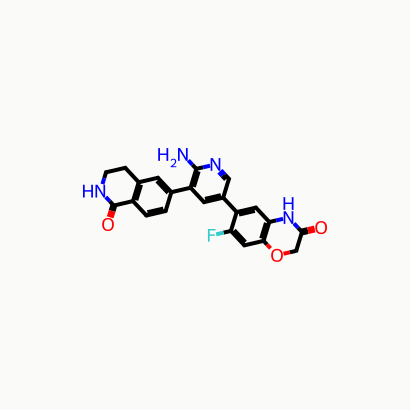 Nc1ncc(-c2cc3c(cc2F)OCC(=O)N3)cc1-c1ccc2c(c1)CCNC2=O